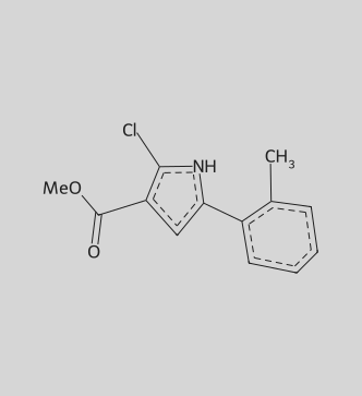 COC(=O)c1cc(-c2ccccc2C)[nH]c1Cl